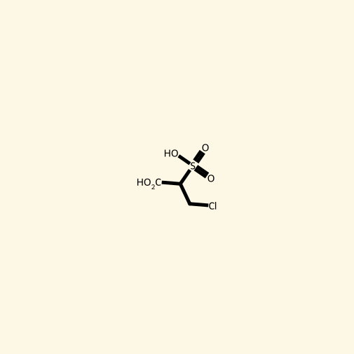 O=C(O)C(CCl)S(=O)(=O)O